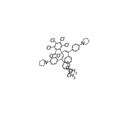 COc1ccc(C(=CC2(C=C(c3ccc(OC)cc3)c3ccc(N4CCCC4)cc3)OC(=O)c3c(Cl)c(Cl)c(Cl)c(Cl)c32)c2ccc(N3CCCC3)cc2)cc1